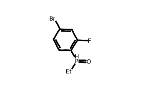 CC[PH](=O)c1ccc(Br)cc1F